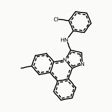 Cc1ccc2c(c1)c1ccccc1c1ncc(Nc3ccccc3Cl)n21